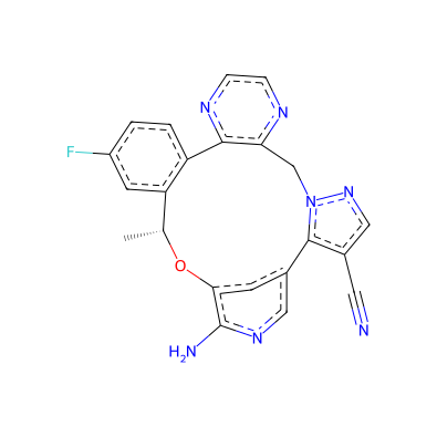 C[C@H]1Oc2cc(cnc2N)-c2c(C#N)cnn2Cc2nccnc2-c2ccc(F)cc21